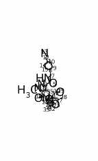 Cn1nc(C(=O)NCc2ccc(C#N)cc2)c2c1C(=O)N(CC1(S(=O)(=O)C3CCOCC3)CC1)CC2